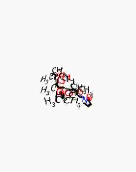 CO[C@@H]([C@@H](C)[C@@H](CC[C@H](C)[C@H](C[C@H](O)C(C)C)OC)OC(=O)C(C)C)[C@H](C)/C=C/N1CCCC1=O